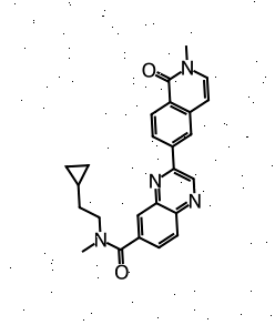 CN(CCC1CC1)C(=O)c1ccc2ncc(-c3ccc4c(=O)n(C)ccc4c3)nc2c1